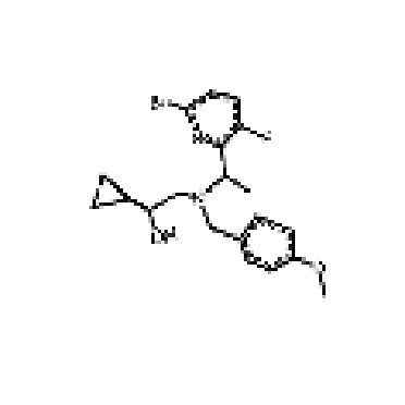 COc1ccc(CN(CC(O)C2CC2)C(C)c2nc(Br)ccc2F)cc1